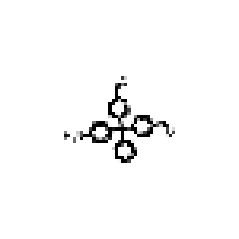 Nc1ccc(C(c2ccccc2)(c2ccc(C=O)cc2)c2ccc(C=O)cc2)cc1